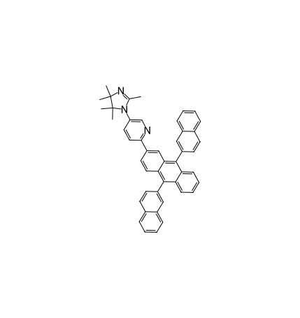 CC1=NC(C)(C)C(C)(C)N1c1ccc(-c2ccc3c(-c4ccc5ccccc5c4)c4ccccc4c(-c4ccc5ccccc5c4)c3c2)nc1